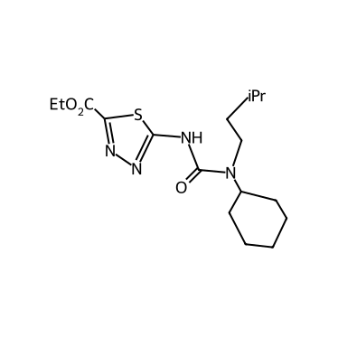 CCOC(=O)c1nnc(NC(=O)N(CCC(C)C)C2CCCCC2)s1